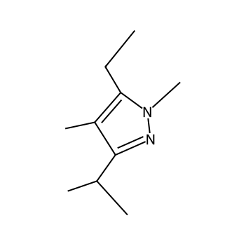 CCc1c(C)c(C(C)C)nn1C